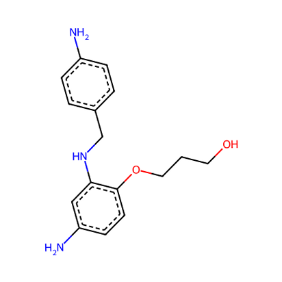 Nc1ccc(CNc2cc(N)ccc2OCCCO)cc1